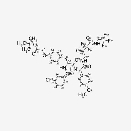 COc1ccc([C@H](NC(=O)[C@H](Cc2ccc(OCC(=O)OC(C)(C)C)cc2)NC(=O)c2cccc(Cl)c2)C(=O)NCC(=O)C(F)(F)C(=O)NCC(F)(F)F)cc1